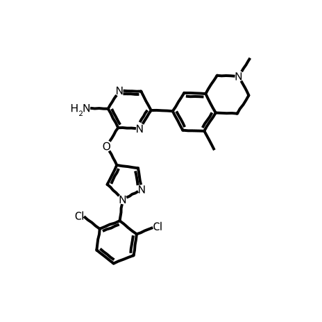 Cc1cc(-c2cnc(N)c(Oc3cnn(-c4c(Cl)cccc4Cl)c3)n2)cc2c1CCN(C)C2